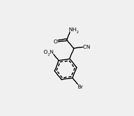 N#C[C](C(N)=O)c1cc(Br)ccc1[N+](=O)[O-]